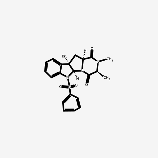 C[C@H]1C(=O)N2[C@@H](C[C@]3(Br)c4ccccc4N(S(=O)(=O)c4ccccc4)[C@H]23)C(=O)N1C